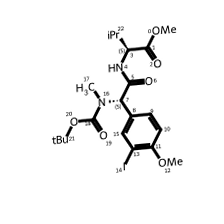 COC(=O)[C@@H](NC(=O)[C@H](c1ccc(OC)c(I)c1)N(C)C(=O)OC(C)(C)C)C(C)C